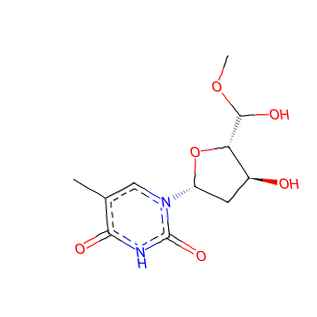 COC(O)[C@H]1O[C@@H](n2cc(C)c(=O)[nH]c2=O)C[C@@H]1O